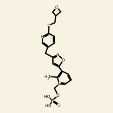 Nc1c(-c2cc(Cc3ccc(OCC4COC4)nc3)no2)ccc[n+]1COP(=O)(O)O